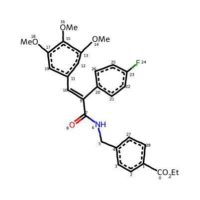 CCOC(=O)c1ccc(CNC(=O)C(=Cc2cc(OC)c(OC)c(OC)c2)c2ccc(F)cc2)cc1